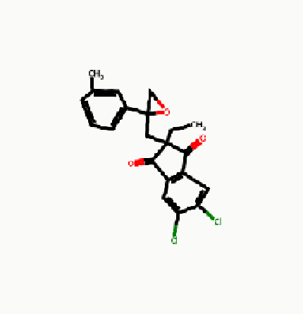 CCC1(CC2(c3cccc(C)c3)CO2)C(=O)c2cc(Cl)c(Cl)cc2C1=O